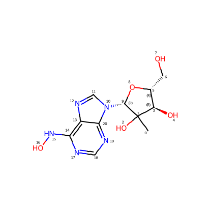 CC1(O)[C@H](O)[C@@H](CO)O[C@H]1n1cnc2c(NO)ncnc21